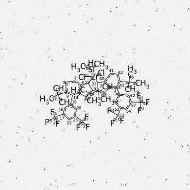 CC(C)C1=Cc2c(ccc(C(C)(C)C)c2-c2cc(C(F)(F)F)cc(C(F)(F)F)c2)[CH]1[Zr]([Cl])([Cl])([CH]1C(C(C)C)=Cc2c1ccc(C(C)(C)C)c2-c1cc(C(F)(F)F)cc(C(F)(F)F)c1)[SiH](C)C